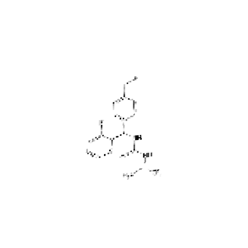 C[C@H](NC(=O)N[C@@H](c1ccc(CF)cc1)c1ncccc1F)C(F)(F)F